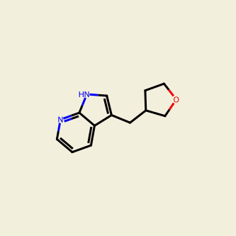 c1cnc2[nH]cc(CC3CCOC3)c2c1